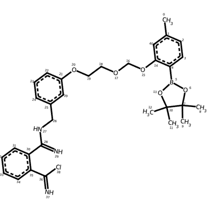 Cc1ccc(B2OC(C)(C)C(C)(C)O2)c(OCOCCOc2cccc(CNC(=N)c3ccccc3C(=N)Cl)c2)c1